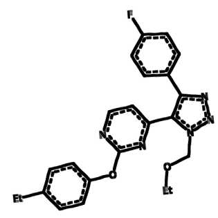 CCOCn1nnc(-c2ccc(F)cc2)c1-c1ccnc(Oc2ccc(CC)cc2)n1